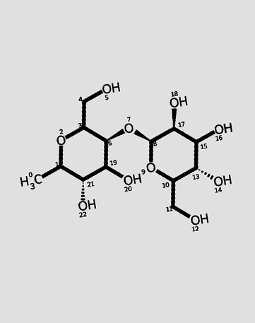 CC1OC(CO)[C@@H](O[C@@H]2OC(CO)[C@@H](O)C(O)[C@@H]2O)C(O)[C@@H]1O